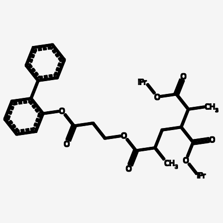 CC(C)OC(=O)C(C)C(CC(C)C(=O)OCCC(=O)Oc1ccccc1-c1ccccc1)C(=O)OC(C)C